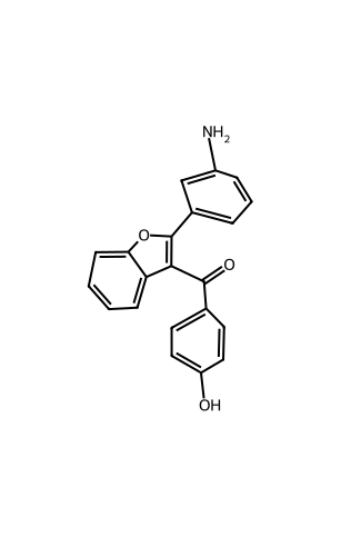 Nc1cccc(-c2oc3ccccc3c2C(=O)c2ccc(O)cc2)c1